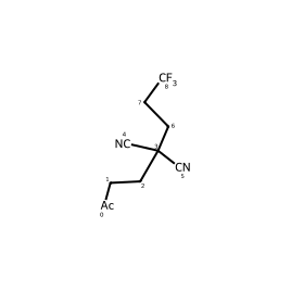 CC(=O)CCC(C#N)(C#N)CCC(F)(F)F